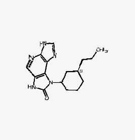 CCC[C@H]1CCCC(n2c(=O)[nH]c3cnc4[nH]cnc4c32)C1